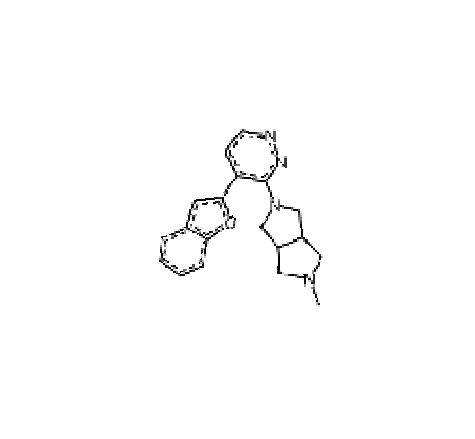 CN1CC2CN(c3nnccc3-c3cc4ccccc4o3)CC2C1